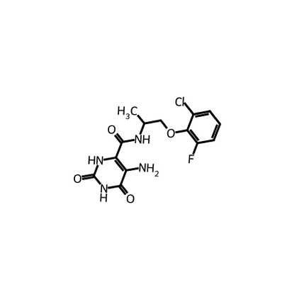 CC(COc1c(F)cccc1Cl)NC(=O)c1[nH]c(=O)[nH]c(=O)c1N